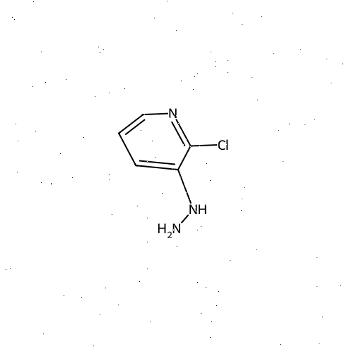 NNc1cccnc1Cl